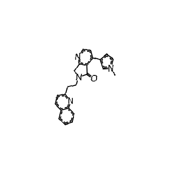 Cn1ccc(-c2ccnc3c2C(=O)N(CCc2ccc4ccccc4n2)C3)c1